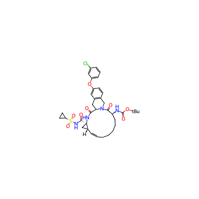 CC(C)(C)OC(=O)N[C@H]1CCCCC/C=C\[C@@H]2C[C@@]2(C(=O)NS(=O)(=O)C2CC2)NC(=O)C2Cc3cc(Oc4cccc(Cl)c4)ccc3CN2C1=O